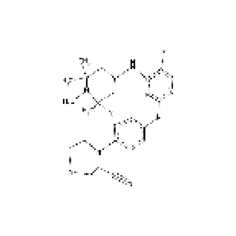 CN1C(C)(C)CC(Nc2nc(Nc3ccc(N4CCSCC4C#N)cc3)ncc2F)CC1(C)C